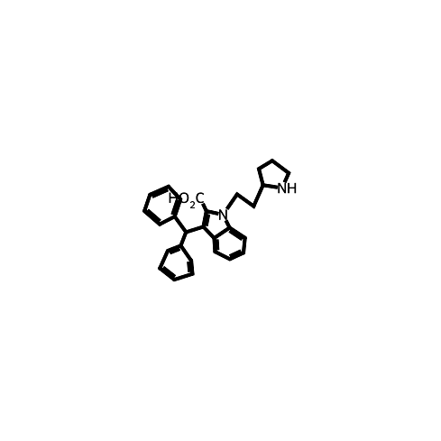 O=C(O)c1c(C(c2ccccc2)c2ccccc2)c2ccccc2n1CCC1CCCN1